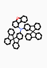 c1ccc2c(c1)-c1ccccc1C21c2ccccc2-c2ccc(N(c3ccc4c(c3)C3(c5ccccc5-c5ccccc53)c3ccccc3-4)c3cccc4oc5ccccc5c34)cc21